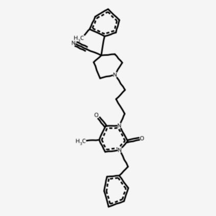 Cc1ccccc1C1(C#N)CCN(CCCn2c(=O)c(C)cn(Cc3ccccc3)c2=O)CC1